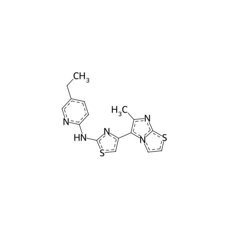 CCc1ccc(Nc2nc(-c3c(C)nc4sccn34)cs2)nc1